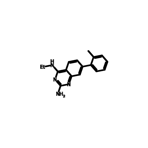 CCNc1nc(N)nc2cc(-c3ccccc3C)ccc12